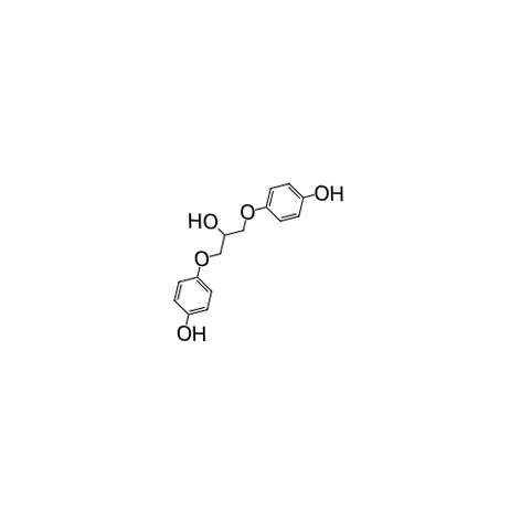 Oc1ccc(OCC(O)COc2ccc(O)cc2)cc1